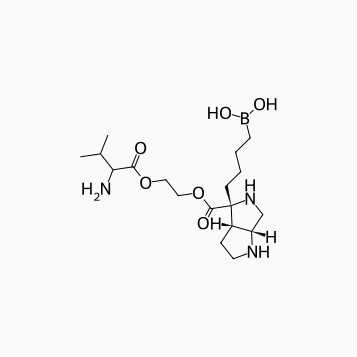 CC(C)C(N)C(=O)OCCOC(=O)[C@]1(CCCCB(O)O)NC[C@@H]2NCC[C@@H]21